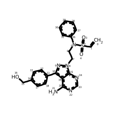 C=CS(=O)(=O)N(CCn1nc(-c2ccc(CO)cc2)c2c(N)ncnc21)c1ccccc1